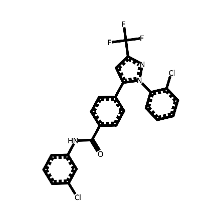 O=C(Nc1cccc(Cl)c1)c1ccc(-c2cc(C(F)(F)F)nn2-c2ccccc2Cl)cc1